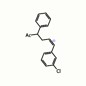 CC(=O)C(C/C=C\c1cccc(Cl)c1)c1ccccc1